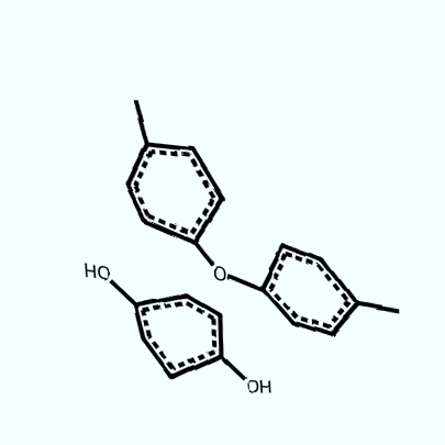 Cc1ccc(Oc2ccc(C)cc2)cc1.Oc1ccc(O)cc1